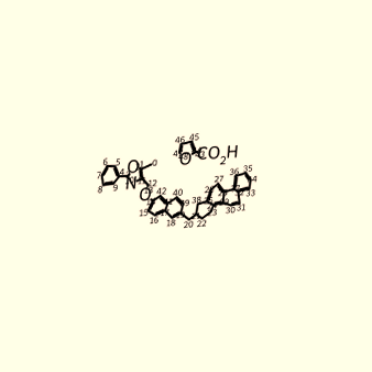 Cc1oc(-c2ccccc2)nc1COc1ccc2cc(CC3CCc4c(ccc5c4ccc4ccccc45)C3)ccc2c1.O=C(O)c1ccco1